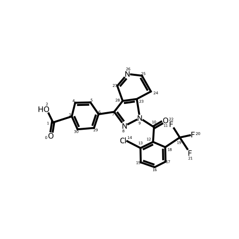 O=C(O)c1ccc(-c2nn(C(=O)c3c(Cl)cccc3C(F)(F)F)c3ccncc23)cc1